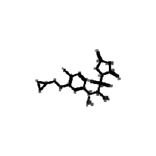 C[C@H](c1ccc(F)c(OCC2CC2)c1)N(C)S(=O)(=O)N1CC(=O)NC1=O